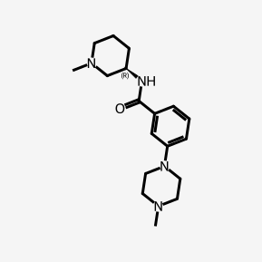 CN1CCN(c2cccc(C(=O)N[C@@H]3CCCN(C)C3)c2)CC1